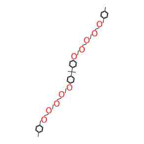 Cc1ccc(COCCOCCOCCOCCOc2ccc(C(C)(C)c3ccc(OCCOCCOCCOCCOCc4ccc(C)cc4)cc3)cc2)cc1